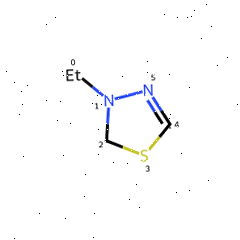 CCN1CS[C]=N1